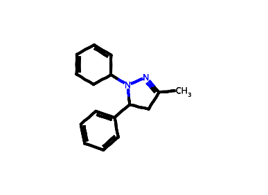 CC1=NN(C2C=CC=CC2)C(c2ccccc2)C1